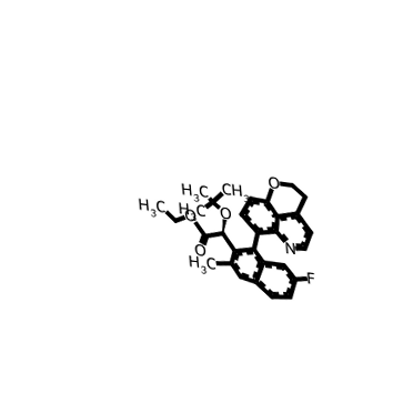 CCOC(=O)[C@@H](OC(C)(C)C)c1c(C)cc2ccc(F)cc2c1-c1ccc2c3c(ccnc13)CCO2